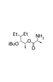 CCC(CC)[C@@H](OCC(C)C)[C@H](C)OC(=O)[C@H](C)N